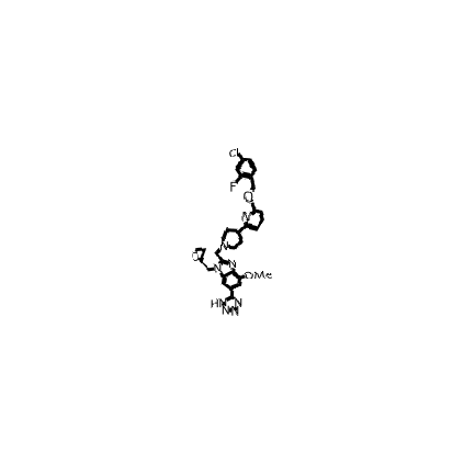 COc1cc(-c2nnn[nH]2)cc2c1nc(CN1CCC(c3cccc(OCc4ccc(Cl)cc4F)n3)CC1)n2C[C@@H]1CCO1